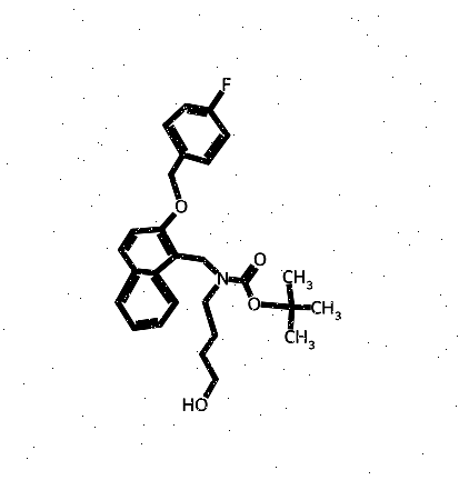 CC(C)(C)OC(=O)N(CCCCO)Cc1c(OCc2ccc(F)cc2)ccc2ccccc12